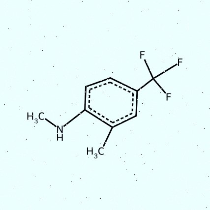 CNc1ccc(C(F)(F)F)cc1C